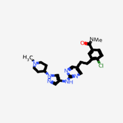 CNC(=O)c1ccc(Cl)c(CCc2cnc(Nc3cnn(C4CCN(C)CC4)c3)nc2)c1